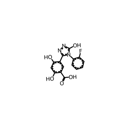 O=C(O)c1cc(-c2nnc(O)n2-c2ccccc2F)c(O)cc1O